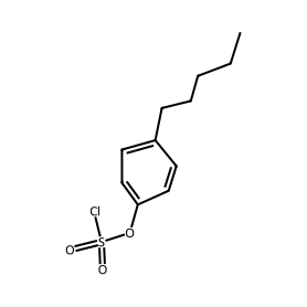 CCCCCc1ccc(OS(=O)(=O)Cl)cc1